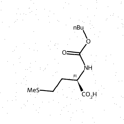 CCCCOC(=O)N[C@H](CCSC)C(=O)O